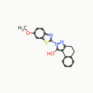 COc1ccc2nc(-n3nc4c(c3O)-c3ccccc3CC4)sc2c1